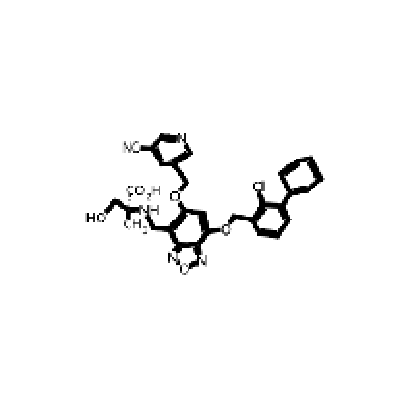 C[C@@](CO)(NCc1c(OCc2cncc(C#N)c2)cc(OCc2cccc(-c3ccccc3)c2Cl)c2nonc12)C(=O)O